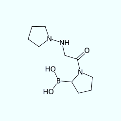 O=C(CNN1CCCC1)N1CCCC1B(O)O